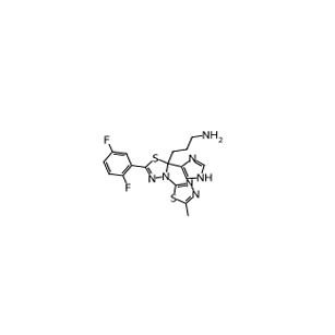 Cc1nnc(N2N=C(c3cc(F)ccc3F)SC2(CCCN)c2c[nH]cn2)s1